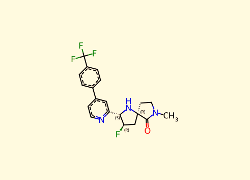 CN1CC[C@@]2(C[C@@H](F)[C@H](c3cc(-c4ccc(C(F)(F)F)cc4)ccn3)N2)C1=O